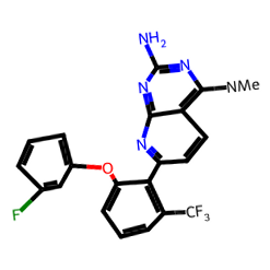 CNc1nc(N)nc2nc(-c3c(Oc4cccc(F)c4)cccc3C(F)(F)F)ccc12